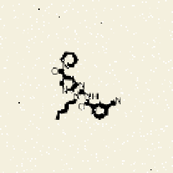 CCCCCn1c(NC(=O)c2cccc(C#N)c2)nc2cc(C(=O)N3CCCCC3)cnc21